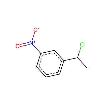 [CH2]C(Cl)c1cccc([N+](=O)[O-])c1